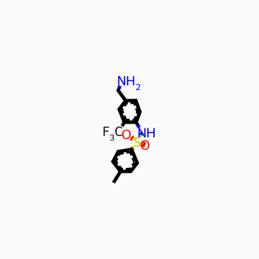 Cc1ccc(S(=O)(=O)Nc2ccc(CN)cc2C(F)(F)F)cc1